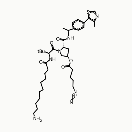 Cc1ncsc1-c1ccc(C(C)NC(=O)[C@@H]2C[C@@H](OC(=O)CCCCN=[N+]=[N-])CN2C(=O)C(NC(=O)CCCCCCCCCCN)C(C)(C)C)cc1